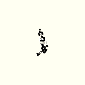 CCn1c(C(=O)Nc2ccc(N3CCNCC3)nc2)cc2c(OCC(C)C)cccc21